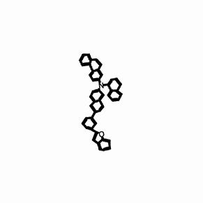 c1cc(-c2ccc3cc(N(c4ccc5c(ccc6ccccc65)c4)c4cccc5ccccc45)ccc3c2)cc(-c2cc3ccccc3o2)c1